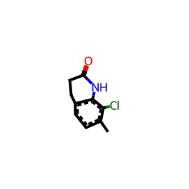 Cc1ccc2c(c1Cl)NC(=O)CC2